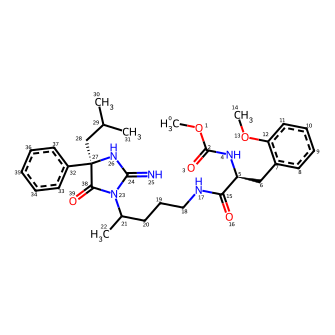 COC(=O)N[C@@H](Cc1ccccc1OC)C(=O)NCCCC(C)N1C(=N)N[C@](CC(C)C)(c2ccccc2)C1=O